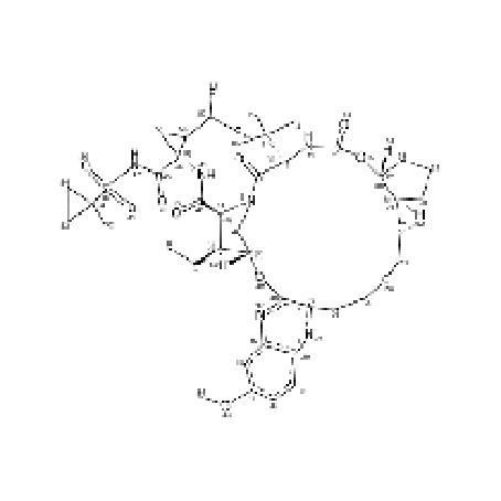 CC[C@@H]1[C@@H]2CN(C(=O)[C@H](C(C)(C)C)NC(=O)O[C@@H]3CCC[C@H]3CCCCCc3nc4ccc(OC)cc4nc3O2)[C@@H]1C(=O)N[C@]1(C(=O)NS(=O)(=O)C2(C)CC2)CC1C(F)F